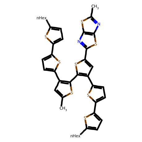 CCCCCCc1ccc(-c2ccc(-c3cc(C)sc3-c3sc(-c4nc5sc(C)nc5s4)cc3-c3ccc(-c4ccc(CCCCCC)s4)s3)s2)s1